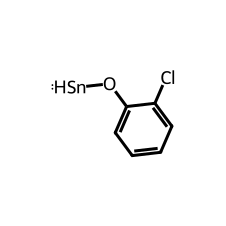 Clc1ccccc1[O][SnH]